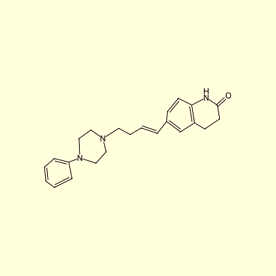 O=C1CCc2cc(/C=C/CCN3CCN(c4ccccc4)CC3)ccc2N1